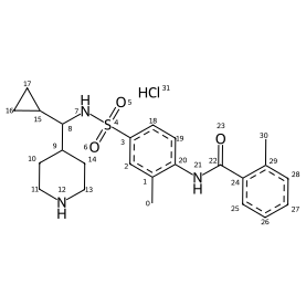 Cc1cc(S(=O)(=O)NC(C2CCNCC2)C2CC2)ccc1NC(=O)c1ccccc1C.Cl